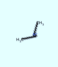 CCCCCCCCCCCC[n+]1cccc(CCCCCCCCCCC)c1